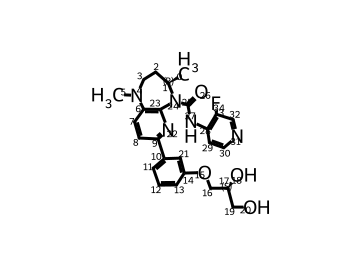 C[C@@H]1CCN(C)c2ccc(-c3cccc(OC[C@@H](O)CO)c3)nc2N1C(=O)Nc1ccncc1F